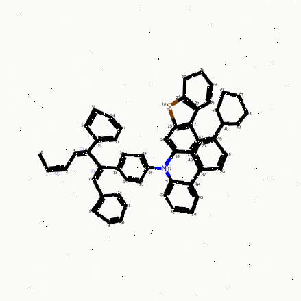 C\C=C/C=C(\C(=C\c1ccccc1)c1ccc(N(c2ccc3c4c(sc3c2)CCC=C4)c2ccccc2-c2ccc(C3CCCCC3)cc2)cc1)c1ccccc1